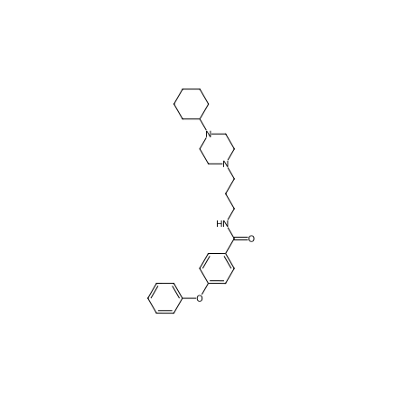 O=C(NCCCN1CCN(C2CCCCC2)CC1)c1ccc(Oc2ccccc2)cc1